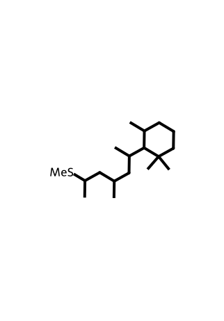 CSC(C)CC(C)CC(C)C1C(C)CCCC1(C)C